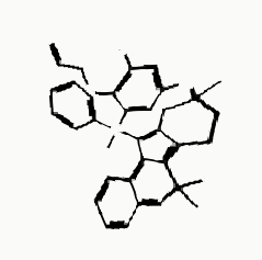 C=CCOc1c(C(C)(C)C)cc(C)cc1[Si](C)(C1=C2CC(C)(C)CCC2=C2C1=c1ccccc1=CC2(C)C)c1ccccc1